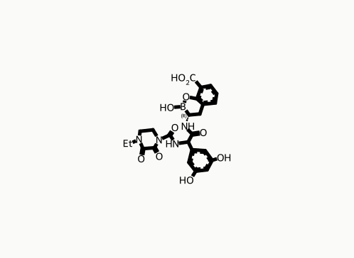 CCN1CCN(C(=O)NC(C(=O)N[C@H]2Cc3cccc(C(=O)O)c3OB2O)c2cc(O)cc(O)c2)C(=O)C1=O